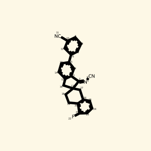 N#CN=C1c2cc(-c3cccc(C#N)c3)ccc2CC12CCc1c(F)cccc1C2